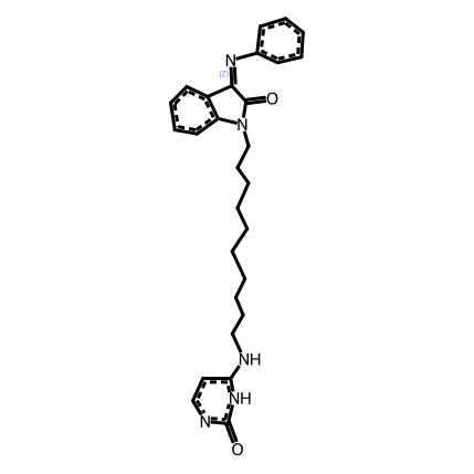 O=C1/C(=N\c2ccccc2)c2ccccc2N1CCCCCCCCCCNc1ccnc(=O)[nH]1